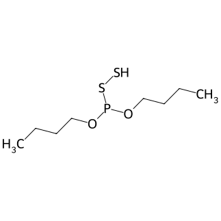 CCCCOP(OCCCC)SS